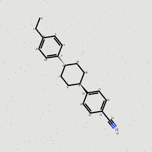 CCc1ccc([C@H]2CC[C@H](c3ccc(C#N)cc3)CC2)cc1